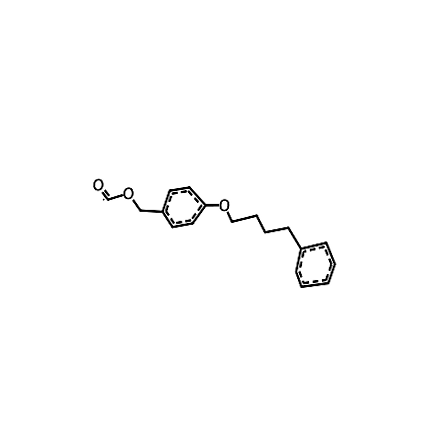 O=[C]OCc1ccc(OCCCCc2ccccc2)cc1